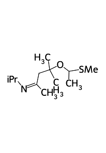 CSC(C)OC(C)(C)C/C(C)=N\C(C)C